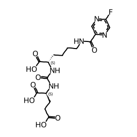 O=C(O)CC[C@H](NC(=O)N[C@@H](CCCCNC(=O)c1cnc(F)cn1)C(=O)O)C(=O)O